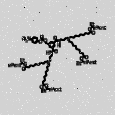 CCCCCC(CC)OC(=O)CCCCCCCCN(CCCCCCCCC(=O)OC(CC)CCCCC)CCCNC(=O)c1cc(COC(=O)Oc2ccc([N+](=O)[O-])cc2)cc(C(=O)NCCCN(CCCCCCCCC(=O)OC(CC)CCCCC)CCCCCCCCC(=O)OC(CC)CCCCC)c1